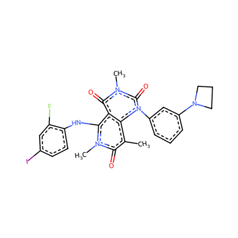 Cc1c(=O)n(C)c(Nc2ccc(I)cc2F)c2c(=O)n(C)c(=O)n(-c3cccc(N4CCC4)c3)c12